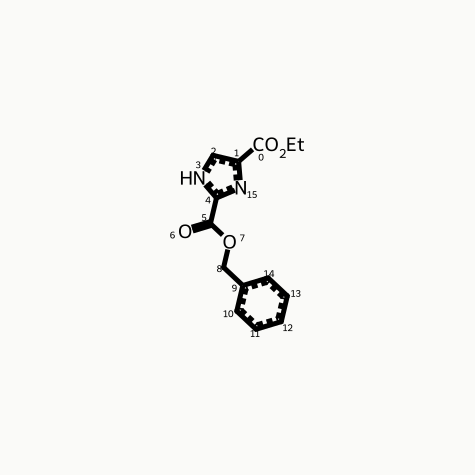 CCOC(=O)c1c[nH]c(C(=O)OCc2ccccc2)n1